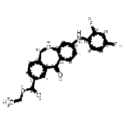 CCOC(=O)c1ccc2c(c1)C(=O)c1ccc(Nc3ccc(F)cc3F)cc1OC2